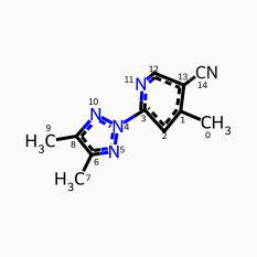 Cc1cc(-n2nc(C)c(C)n2)ncc1C#N